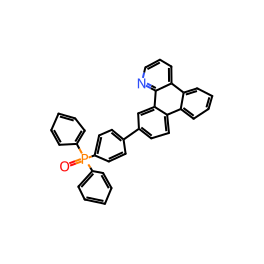 O=P(c1ccccc1)(c1ccccc1)c1ccc(-c2ccc3c4ccccc4c4cccnc4c3c2)cc1